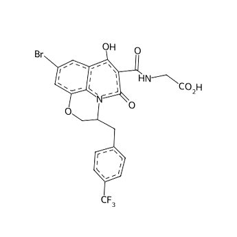 O=C(O)CNC(=O)c1c(O)c2cc(Br)cc3c2n(c1=O)C(Cc1ccc(C(F)(F)F)cc1)CO3